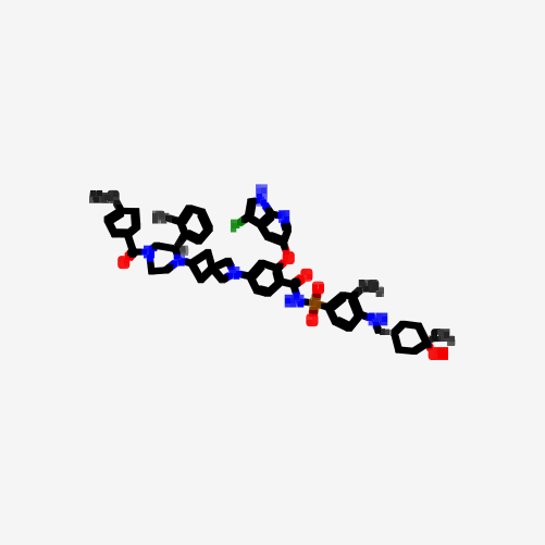 COc1ccc(C(=O)N2CCN(C3CC4(C3)CN(c3ccc(C(=O)NS(=O)(=O)c5ccc(NC[C@H]6CC[C@](C)(O)CC6)c([N+](=O)[O-])c5)c(Oc5cnc6[nH]cc(F)c6c5)c3)C4)[C@H](c3ccccc3C(C)C)C2)cc1